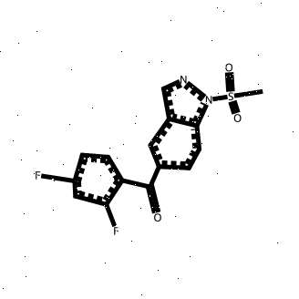 CS(=O)(=O)n1ncc2cc(C(=O)c3ccc(F)cc3F)ccc21